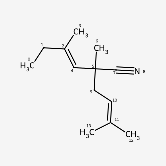 CCC(C)=CC(C)(C#N)CC=C(C)C